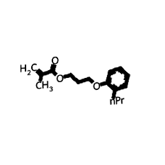 C=C(C)C(=O)OCCCOc1ccccc1CCC